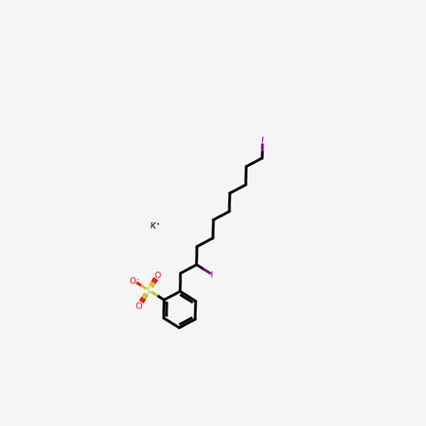 O=S(=O)([O-])c1ccccc1CC(I)CCCCCCCCI.[K+]